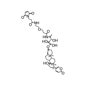 C[C@H](NC(=O)CCOCCNC(=O)CCN1C(=O)C=CC1=O)C(O)[C@H](O)[C@H](O)O[C@@H]1C=C2CCC3C(CC[C@]4(C)[C@@H](c5ccc(=O)oc5)CC[C@]34O)[C@@]2(C)CC1